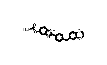 NC(=O)Oc1ccc2[nH]c(-c3ccc(Cc4ccc5c(c4)OCCO5)cc3)nc2c1